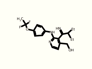 CCC(CC)C(=N)c1c(CO)ccnc1Nc1ccc(OC(C)(F)F)cc1